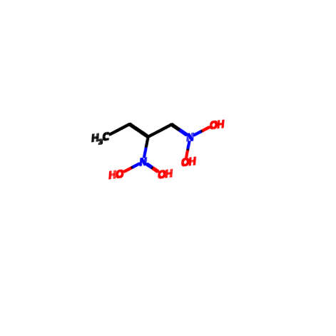 CCC(CN(O)O)N(O)O